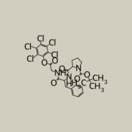 CC(C)(C)OC(=O)N1CCCC1C(=O)NC(Cc1ccccc1)C(=O)NCC(=O)Oc1c(Cl)c(Cl)c(Cl)c(Cl)c1Cl